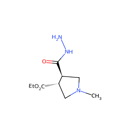 CCOC(=O)[C@H]1CN(C)C[C@@H]1C(=O)NN